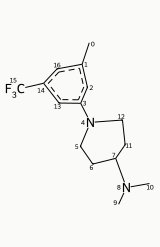 Cc1cc(N2CCC(N(C)C)CC2)cc(C(F)(F)F)c1